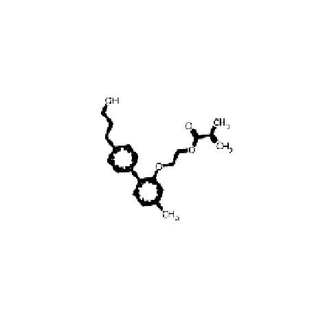 C=C(C)C(=O)OCCOc1cc(C)ccc1-c1ccc(CCCO)cc1